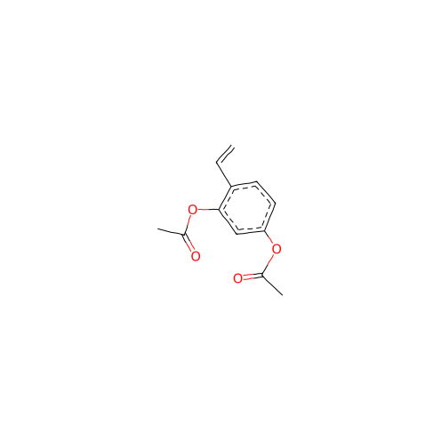 C=Cc1ccc(OC(C)=O)cc1OC(C)=O